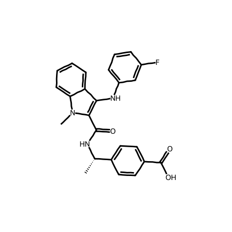 C[C@H](NC(=O)c1c(Nc2cccc(F)c2)c2ccccc2n1C)c1ccc(C(=O)O)cc1